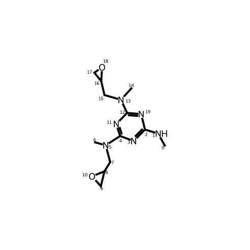 CNc1nc(N(C)CC2CO2)nc(N(C)CC2CO2)n1